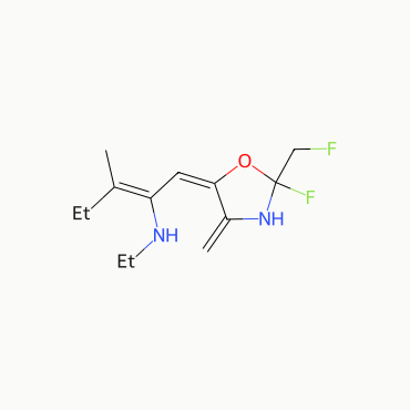 C=C1NC(F)(CF)O/C1=C/C(NCC)=C(\C)CC